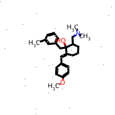 COc1ccc(C=C2CCCC(CN(C)C)C2(O)Cc2cccc(C)c2)cc1